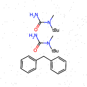 CN(C(N)=O)C(C)(C)C.CN(C(N)=O)C(C)(C)C.c1ccc(Cc2ccccc2)cc1